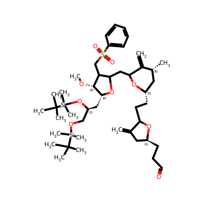 C=C1C[C@H](CCC=O)OC1CC[C@H]1C[C@@H](C)C(=C)C(CC2O[C@H](C[C@@H](CO[Si](C)(C)C(C)(C)C)O[Si](C)(C)C(C)(C)C)[C@H](OC)C2CS(=O)(=O)c2ccccc2)O1